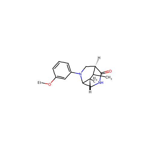 CCOc1cccc(N2C[C@H]3C(=O)NCC2[C@@H](C)C3C)c1